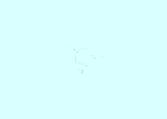 CCN1C=CN(C)C1.[AlH3]